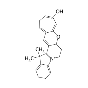 CC1(C)C2=CCCC=C2[N+]2=C1C1=CC3=CCC=C(O)C=C3OC1CC2